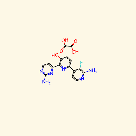 Nc1nccc(-c2nc(-c3ccnc(N)c3F)ccc2O)n1.O=C(O)C(=O)O